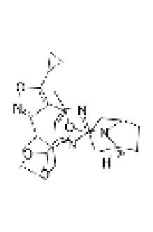 COC(=O)c1cc(C)nc(N2C3CC[C@H]2CC(OCc2c(C4CCCCC4C)noc2C2CC2)C3)n1